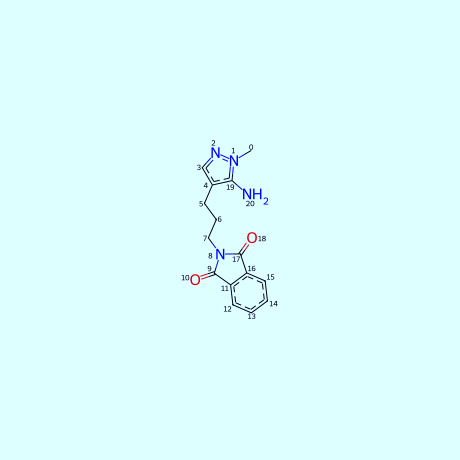 Cn1ncc(CCCN2C(=O)c3ccccc3C2=O)c1N